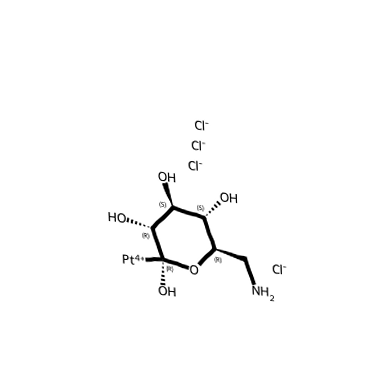 NC[C@H]1O[C@@](O)([Pt+4])[C@H](O)[C@@H](O)[C@@H]1O.[Cl-].[Cl-].[Cl-].[Cl-]